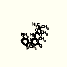 CN1C(=O)C[C@@](C)(c2cc(N)ccc2F)N=C1NC(=O)OC(C)(C)C